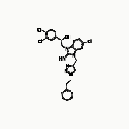 N=c1n(Cc2cn(CCc3ccccc3)nn2)c2cc(Cl)ccc2n1CC(O)c1ccc(Cl)c(Cl)c1